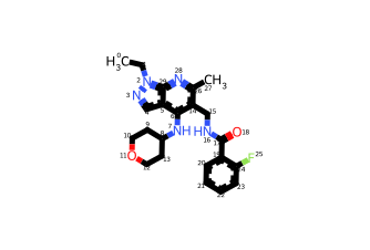 CCn1ncc2c(NC3CCOCC3)c(CNC(=O)c3ccccc3F)c(C)nc21